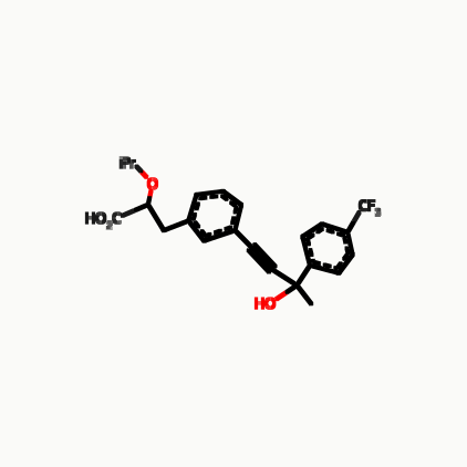 CC(C)OC(Cc1cccc(C#CC(C)(O)c2ccc(C(F)(F)F)cc2)c1)C(=O)O